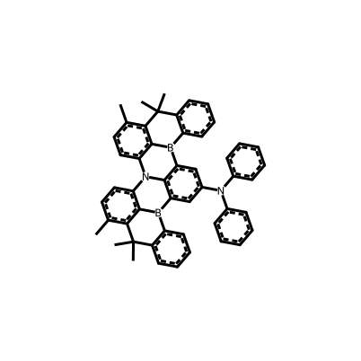 Cc1ccc2c3c1C(C)(C)c1ccccc1B3c1cc(N(c3ccccc3)c3ccccc3)cc3c1N2c1ccc(C)c2c1B3c1ccccc1C2(C)C